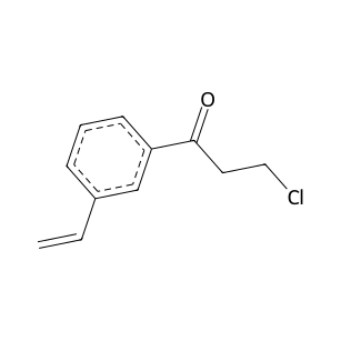 C=Cc1cccc(C(=O)CCCl)c1